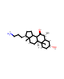 CC[C@H]1C(=O)C2C3CC[C@H](CCCN)C3(C)CC[C@@H]2C2(C)CC[C@@H](O)CC12